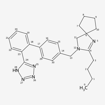 CCCCC1=NC2(CCCC2)CN1Cc1ccc(-c2ccccc2-c2nnn[nH]2)cc1